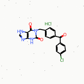 Cl.O=C(c1ccc(Cl)cc1)c1ccc(Cn2c(=O)[nH]c3nc[nH]c3c2=O)cc1